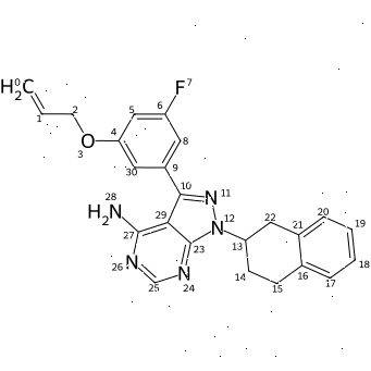 C=CCOc1cc(F)cc(-c2nn(C3CCc4ccccc4C3)c3ncnc(N)c23)c1